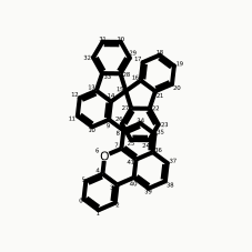 c1ccc2c(c1)Oc1c(-c3cccc4c3C3(c5ccccc5-c5ccccc53)c3ccccc3-4)ccc3cccc-2c13